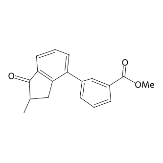 COC(=O)c1cccc(-c2cccc3c2CC(C)C3=O)c1